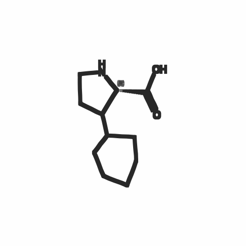 O=C(O)[C@H]1NCCC1C1CCCCC1